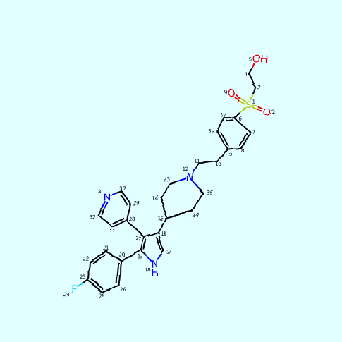 O=S(=O)(CCO)c1ccc(CCN2CCC(c3c[nH]c(-c4ccc(F)cc4)c3-c3ccncc3)CC2)cc1